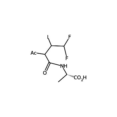 CC(=O)C(C(=O)N[C@@H](C)C(=O)O)C(I)C(F)F